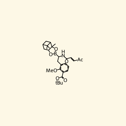 COc1c(CC(NC(=O)C=CC(C)=O)B2OC3CC4CC(C4(C)C)C3(C)O2)cccc1C(=O)OC(C)(C)C